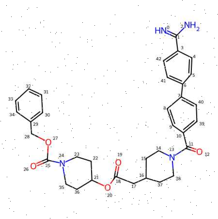 N=C(N)c1ccc(-c2ccc(C(=O)N3CCC(CC(=O)OC4CCN(C(=O)OCc5ccccc5)CC4)CC3)cc2)cc1